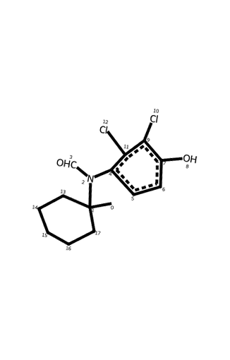 CC1(N(C=O)c2ccc(O)c(Cl)c2Cl)CCCCC1